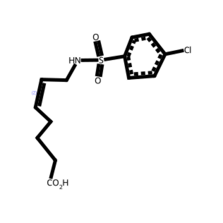 O=C(O)CCC/C=C\CNS(=O)(=O)c1ccc(Cl)cc1